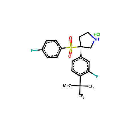 COC(c1ccc([C@]2(S(=O)(=O)c3ccc(F)cc3)CCNC2)cc1F)(C(F)(F)F)C(F)(F)F.Cl